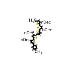 CCCCCCCCCCc1cc(C)sc1-c1cc(CCCCCCCCCC)c(-c2ccc(-c3sc(-c4sc(-c5ccc(C)cc5)cc4CCCCCCCCCC)cc3CCCCCCCCCC)s2)s1